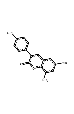 CC(C)(C)c1cc([N+](=O)[O-])c2oc(=O)c(-c3ccc([N+](=O)[O-])cc3)cc2c1